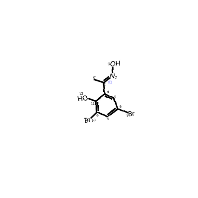 C/C(=N\O)c1cc(Br)cc(Br)c1O